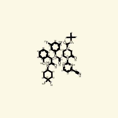 CC(C)(C)OC(=O)N1CC(=O)N(c2nccc(C#N)n2)[C@H](C(=O)N(c2cc(F)cc(F)c2)[C@H](C(=O)NC2CCC(F)(F)CC2)c2ccccc2Cl)C1